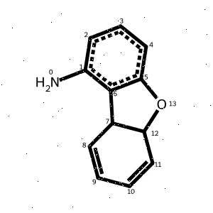 Nc1cccc2c1C1C=CC=CC1O2